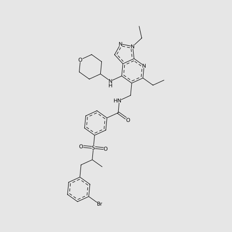 CCc1nc2c(cnn2CC)c(NC2CCOCC2)c1CNC(=O)c1cccc(S(=O)(=O)C(C)Cc2cccc(Br)c2)c1